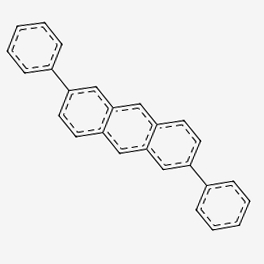 c1ccc(-c2ccc3cc4cc(-c5ccccc5)ccc4cc3c2)cc1